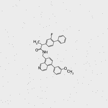 COc1cccc(-c2ccc(CNC(=O)C(C)c3ccc(-c4ccccc4)c(F)c3)c3cnccc23)c1